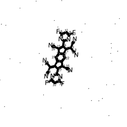 N#CC(C#N)=C1C(c2nc(F)cc(F)n2)=C(C#N)c2cc3c(cc21)C(C#N)=C(c1nc(F)cc(F)n1)C3=C(C#N)C#N